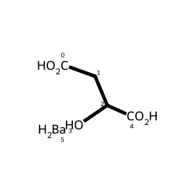 O=C(O)CC(O)C(=O)O.[BaH2]